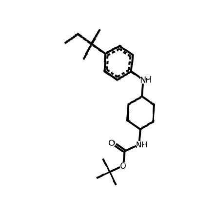 CCC(C)(C)c1ccc(NC2CCC(NC(=O)OC(C)(C)C)CC2)cc1